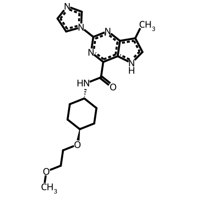 COCCO[C@H]1CC[C@H](NC(=O)c2nc(-n3ccnc3)nc3c(C)c[nH]c23)CC1